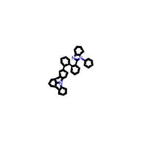 c1ccc(-n2c(-c3ccccc3-c3ccccc3-c3ccc4c(c3)c3cccc5c6ccccc6n4c53)nc3ccccc32)cc1